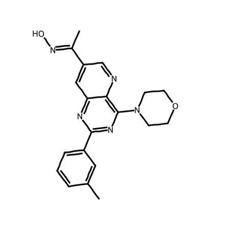 CC(=NO)c1cnc2c(N3CCOCC3)nc(-c3cccc(C)c3)nc2c1